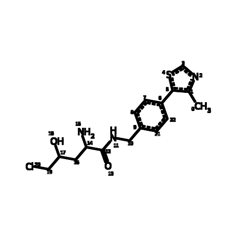 Cc1ncsc1-c1ccc(CNC(=O)C(N)CC(O)CCl)cc1